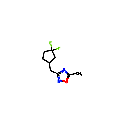 Cc1nc(CC2CCC(F)(F)C2)no1